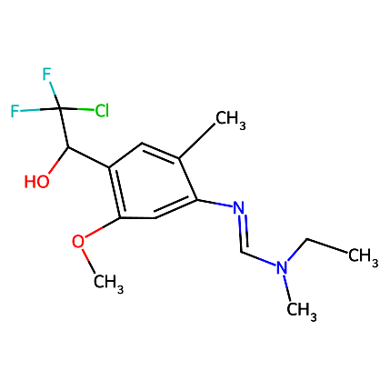 CCN(C)/C=N/c1cc(OC)c(C(O)C(F)(F)Cl)cc1C